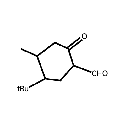 CC1CC(=O)C(C=O)CC1C(C)(C)C